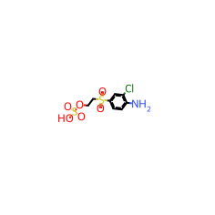 Nc1ccc(S(=O)(=O)CCOS(=O)(=O)O)cc1Cl